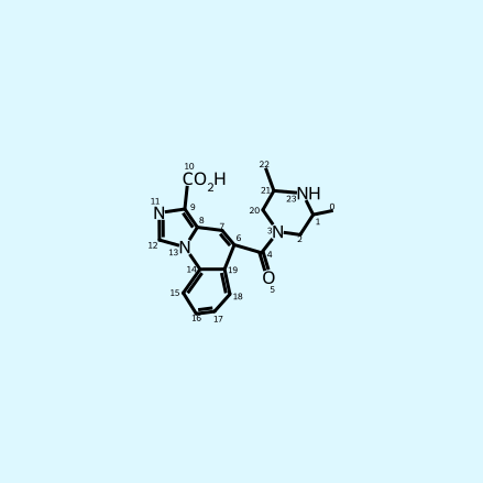 CC1CN(C(=O)c2cc3c(C(=O)O)ncn3c3ccccc23)CC(C)N1